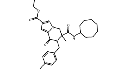 CCOC(=O)c1cc2n(n1)CC(C)(C(=O)NC1CCCCCCC1)N(Cc1ccc(C)cc1)C2=O